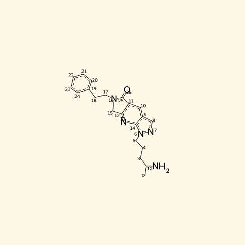 CC(N)CCCn1ncc2cc3c(nc21)CN(CCc1ccccc1)C3=O